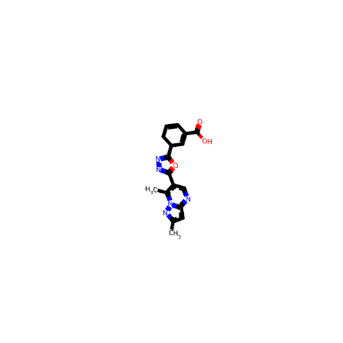 Cc1cc2ncc(-c3nnc(C4C=C(C(=O)O)C=CC4)o3)c(C)n2n1